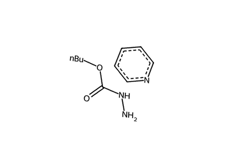 CCCCOC(=O)NN.c1ccncc1